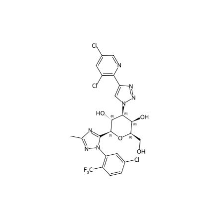 Cc1nc([C@@H]2O[C@H](CO)[C@H](O)[C@H](n3cc(-c4ncc(Cl)cc4Cl)nn3)[C@H]2O)n(-c2cc(Cl)ccc2C(F)(F)F)n1